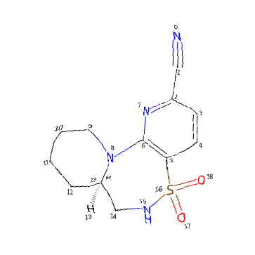 N#Cc1ccc2c(n1)N1CCCC[C@@H]1CNS2(=O)=O